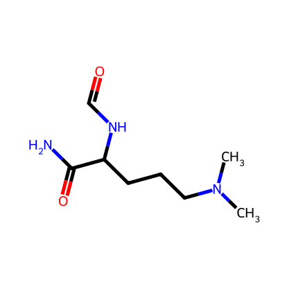 CN(C)CCCC(NC=O)C(N)=O